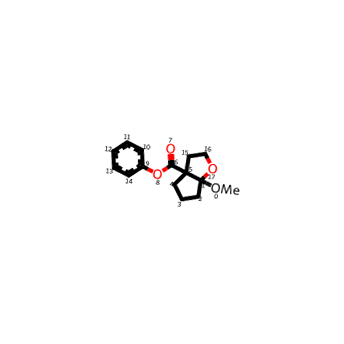 COC12CCCC1(C(=O)Oc1ccccc1)CCO2